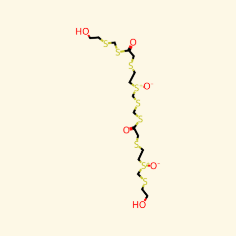 O=C(CSCC[S+]([O-])CSCSC(=O)CSCC[S+]([O-])CSCCO)SCSCCO